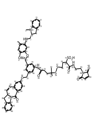 COc1cc(C)c(NC[C@@H]2Cc3ccccc3N2C)cc1OCc1cc(COc2ccc3c(c2)N=CC2Cc4ccccc4N2C3=O)cc(NC(=O)CCC(C)(C)SSCCC(C(=O)NCCN2C(=O)C=CC2=O)S(=O)(=O)O)c1